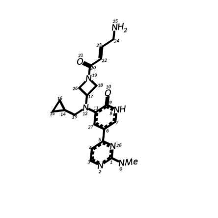 CNc1nccc(-c2c[nH]c(=O)c(N(CC3CC3)C3CN(C(=O)C=CCN)C3)c2)n1